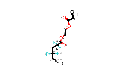 C=CC(=O)OCCOC(=O)C(F)(F)CC(F)(F)CC(F)(F)F